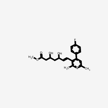 COC(=O)CC(O)CC(O)/C=C/c1c(-c2ccc(F)cc2)cc(C)nc1C